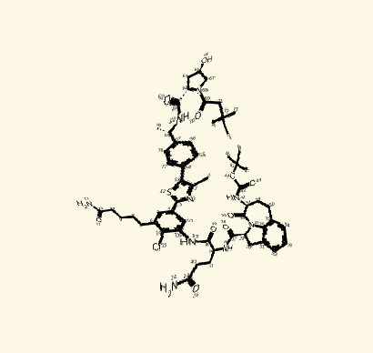 Cc1nc(-c2cc(CCCCC(N)=O)c(Cl)c(NC(=O)C(CCC(N)=O)NC(=O)[C@@H]3Cc4cccc5c4N3C(=O)[C@@H](NC(=O)OC(C)(C)C)CC5)c2)sc1-c1ccc([C@H](C)NC(=O)[C@@H]2C[C@@H](O)CN2C(=O)CC(C)(C)C)cc1